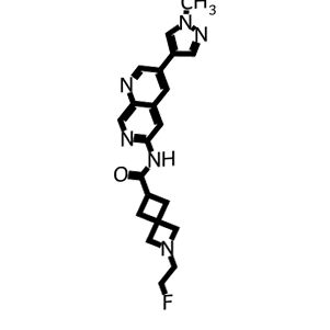 Cn1cc(-c2cnc3cnc(NC(=O)C4CC5(C4)CN(CCF)C5)cc3c2)cn1